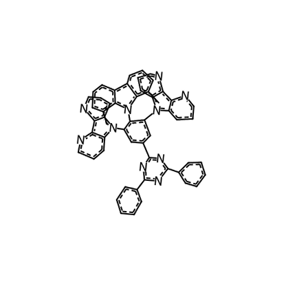 Cc1cccc2c3cccc(C)c3n(-c3c(-n4c5cccnc5c5ncccc54)cc(-c4nc(-c5ccccc5)nc(-c5ccccc5)n4)cc3-n3c4cccnc4c4ncccc43)c12